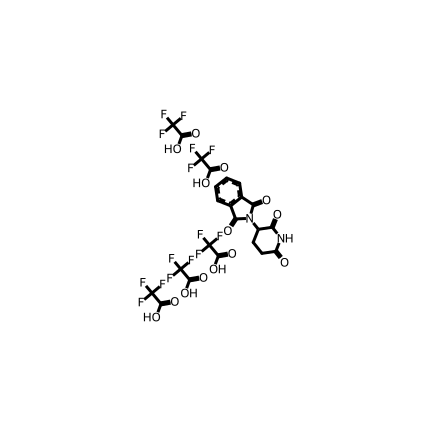 O=C(O)C(F)(F)F.O=C(O)C(F)(F)F.O=C(O)C(F)(F)F.O=C(O)C(F)(F)F.O=C(O)C(F)(F)F.O=C1CCC(N2C(=O)c3ccccc3C2=O)C(=O)N1